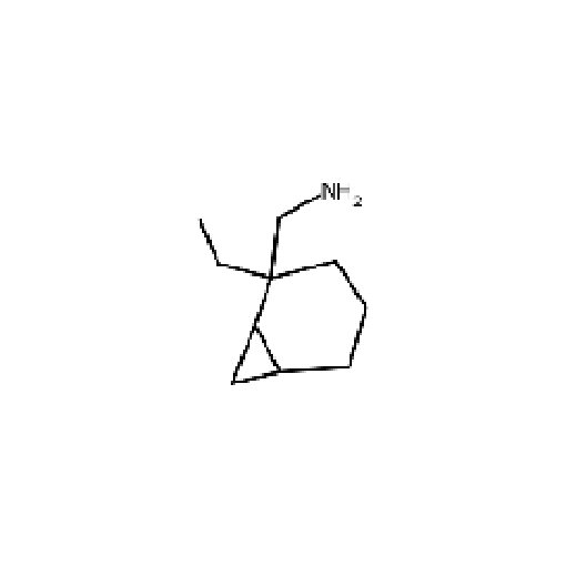 CCC1(CN)CCCC2CC21